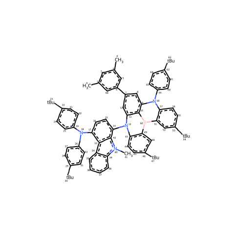 Cc1cc(C)cc(-c2cc3c4c(c2)N(c2ccc(N(c5ccc(C(C)(C)C)cc5)c5ccc(C(C)(C)C)cc5)c5c6ccccc6n(C)c25)c2ccc(C(C)(C)C)cc2B4c2cc(C(C)(C)C)ccc2N3c2ccc(C(C)(C)C)cc2)c1